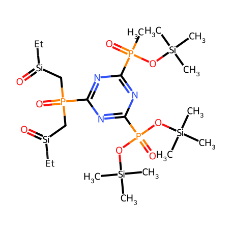 CC[Si](=O)CP(=O)(C[Si](=O)CC)c1nc(P(C)(=O)O[Si](C)(C)C)nc(P(=O)(O[Si](C)(C)C)O[Si](C)(C)C)n1